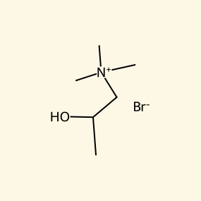 CC(O)C[N+](C)(C)C.[Br-]